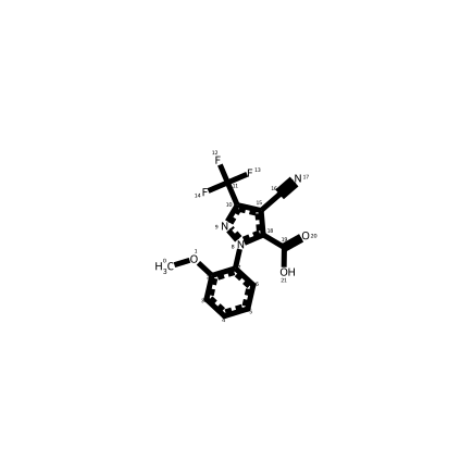 COc1ccccc1-n1nc(C(F)(F)F)c(C#N)c1C(=O)O